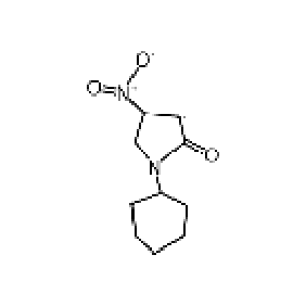 O=C1[CH]C([N+](=O)[O-])CN1C1CCCCC1